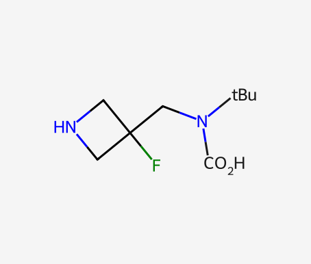 CC(C)(C)N(CC1(F)CNC1)C(=O)O